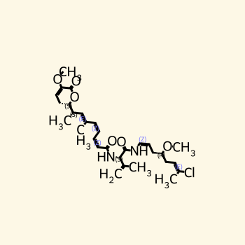 C=C(C)[C@H](NC(=O)\C=C/C=C\C(C)=C\[C@H](C)[C@@H]1CC=C(OC)C(=O)O1)C(=O)N/C=C\C[C@H](C/C=C(\C)Cl)OC